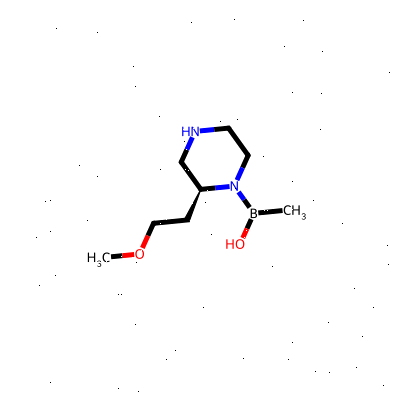 COCC[C@H]1CNCCN1B(C)O